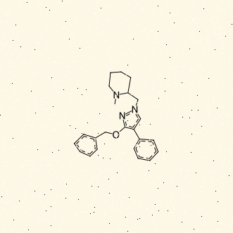 CN1CCCCC1Cn1cc(-c2ccccc2)c(OCc2ccccc2)n1